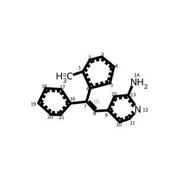 Cc1ccccc1/C(=C\c1ccnc(N)c1)c1ccccc1